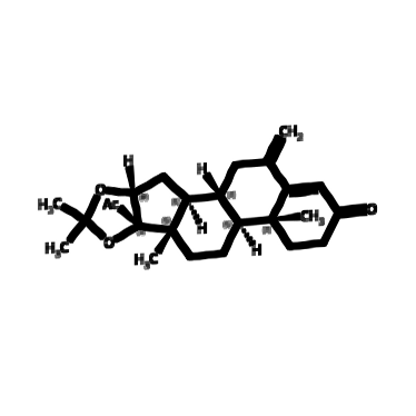 C=C1C[C@@H]2[C@H](CC[C@@]3(C)[C@H]2C[C@H]2OC(C)(C)O[C@]23C(C)=O)[C@@]2(C)CCC(=O)C=C12